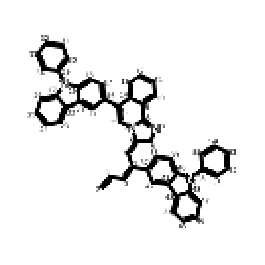 C=C/C=C(\C=C1/CN=C2c3ccccc3C(c3ccc4c(c3)c3ccccc3n4-c3ccccc3)=CN21)c1ccc2c(c1)c1ccccc1n2-c1ccccc1